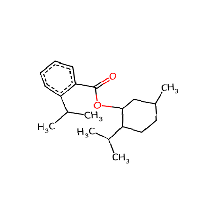 CC1CCC(C(C)C)C(OC(=O)c2ccccc2C(C)C)C1